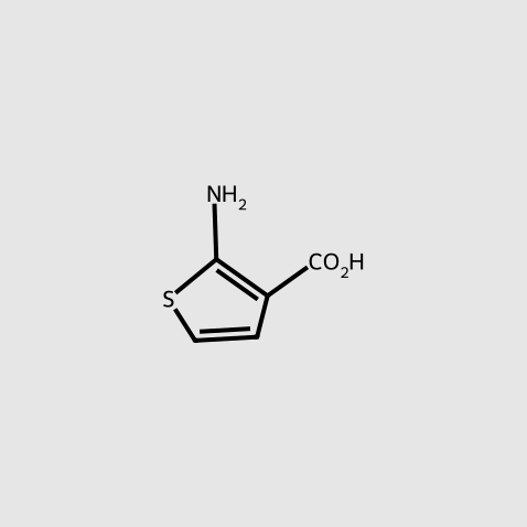 Nc1sccc1C(=O)O